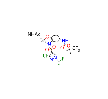 CC(=O)NC[C@H]1CN(S(=O)(=O)c2cn(C(F)F)nc2Cl)c2cc(NC(=O)OC(C)(C)C(F)(F)F)ccc2O1